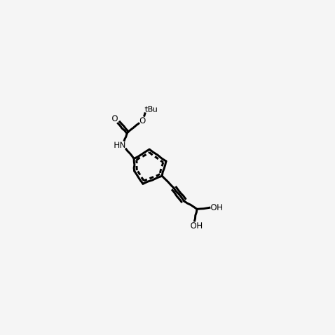 CC(C)(C)OC(=O)Nc1ccc(C#CC(O)O)cc1